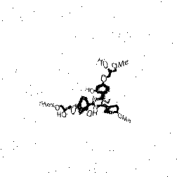 CCCCCCOCC(O)COc1ccc(-c2nc(-c3ccc(OC)cc3)nc(-c3ccc(OCC(O)COC)cc3O)n2)c(O)c1